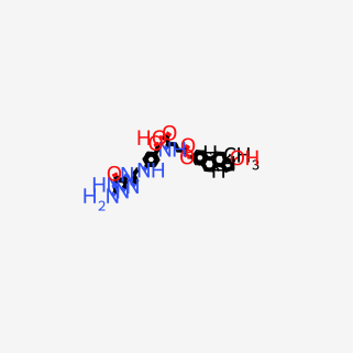 C[C@]12CC[C@@H]3c4ccc(OC(=O)CCC(NC(=O)c5ccc(NCc6cnc7nc(N)[nH]c(=O)c7n6)cc5)C(=O)O)cc4CC[C@H]3[C@@H]1CC[C@@H]2O